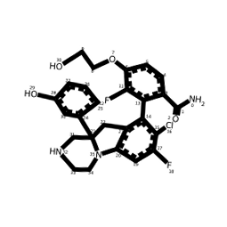 NC(=O)c1ccc(OCCO)c(F)c1-c1c(Cl)c(F)cc2c1CC1(c3cccc(O)c3)CNCCN21